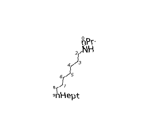 CC[CH]NCCCCCCCCCCCCCC